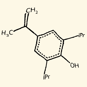 C=C(C)c1cc(C(C)C)c(O)c(C(C)C)c1